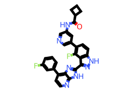 O=C(Nc1cncc(-c2ccc3[nH]nc(-c4nc5c(-c6cccc(F)c6)ccnc5[nH]4)c3c2F)c1)C1CCC1